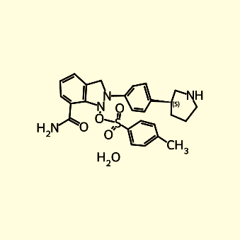 Cc1ccc(S(=O)(=O)ON2c3c(cccc3C(N)=O)CN2c2ccc([C@@H]3CCCNC3)cc2)cc1.O